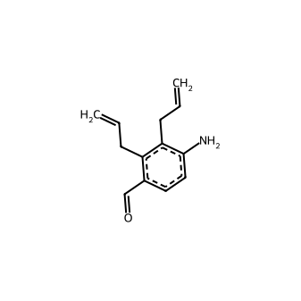 C=CCc1c(N)ccc(C=O)c1CC=C